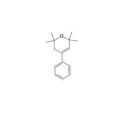 CC1(C)C=C(c2cc[c]cc2)CC(C)(C)O1